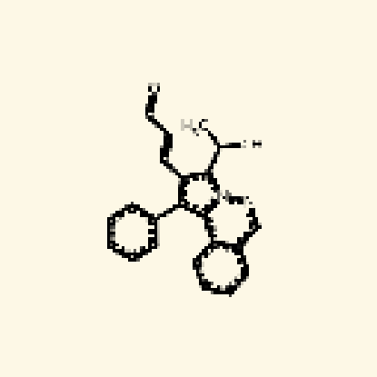 CC(C)c1c(C=CC=O)c(-c2ccccc2)c2c3ccccc3cnn12